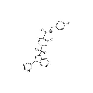 O=C(NCc1ccc(F)cc1)c1ccc(S(=O)(=O)n2cc(-c3cncnc3)c3ccccc32)cc1Cl